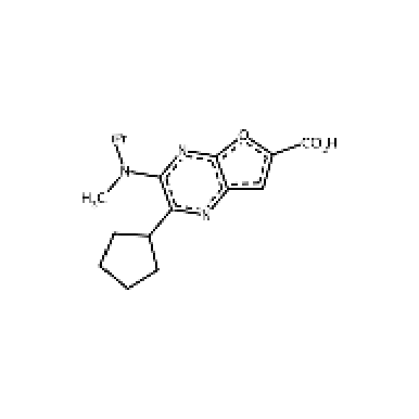 CC(C)N(C)c1nc2oc(C(=O)O)cc2nc1C1CCCC1